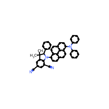 CC1(C)c2cc(C#N)cc(C#N)c2N(c2ccc3ccc4c(N(c5ccccc5)c5ccccc5)ccc5ccc2c3c54)C1c1ccccc1